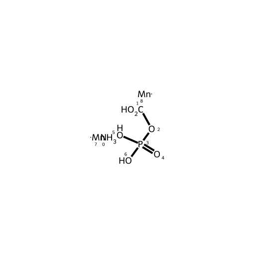 N.O=C(O)OP(=O)(O)O.[Mn].[Mn]